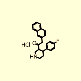 Cl.O=C(Cc1ccc2ccccc2c1)C1CNCCC1c1ccc(F)cc1